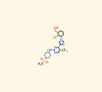 CS(=O)(=O)N1CCC(Nc2ncc(C(F)(F)F)c(-c3cn(-c4cccc(CO)c4Cl)cn3)n2)CC1